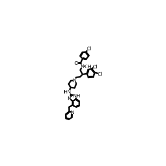 CN(CC(CCN1CCC(Nc2nc3c(Cc4ccccn4)cccc3[nH]2)CC1)c1ccc(Cl)c(Cl)c1)C(=O)c1ccc(Cl)cc1